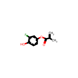 C=C(C)C(=O)Oc1ccc(O)c(F)c1